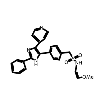 CO/C=C\NS(=O)(=O)Cc1ccc(-c2[nH]c(-c3ccccc3)nc2-c2ccncc2)cc1